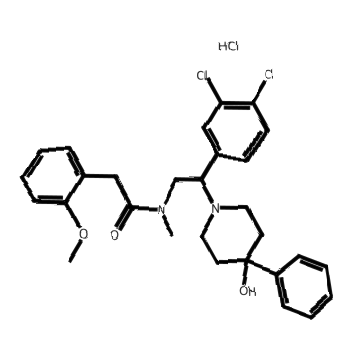 COc1ccccc1CC(=O)N(C)CC(c1ccc(Cl)c(Cl)c1)N1CCC(O)(c2ccccc2)CC1.Cl